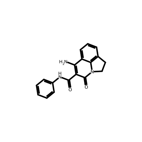 Nc1c(C(=O)Nc2ccccc2)c(=O)n2c3c(cccc13)CC2